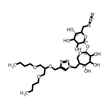 CCCCOCC(COCCCC)OCc1cn(CC2CO[C@H](O[C@H]3OC(CN=[N+]=[N-])[C@@H](O)C(O)C3O)C(O)C(O)[C@@H]2O)nn1